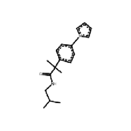 CC(C)CNC(=O)C(C)(C)c1ccc(-n2cccc2)cc1